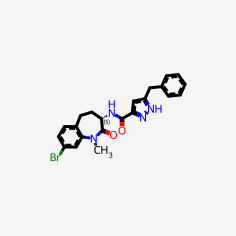 CN1C(=O)[C@@H](NC(=O)c2cc(Cc3ccccc3)[nH]n2)CCc2ccc(Br)cc21